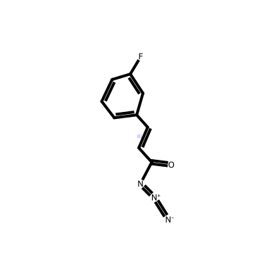 [N-]=[N+]=NC(=O)/C=C/c1cccc(F)c1